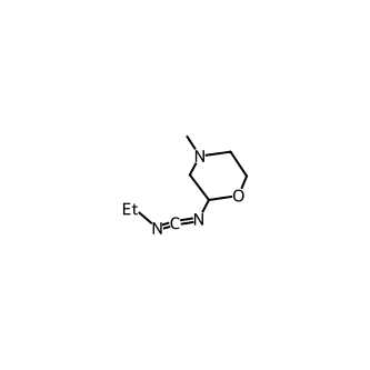 CCN=C=NC1CN(C)CCO1